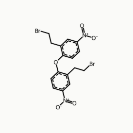 O=[N+]([O-])c1ccc(Oc2ccc([N+](=O)[O-])cc2CCBr)c(CCBr)c1